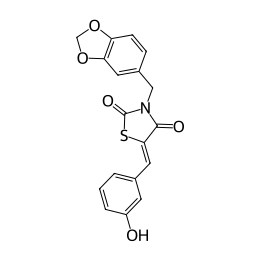 O=C1S/C(=C\c2cccc(O)c2)C(=O)N1Cc1ccc2c(c1)OCO2